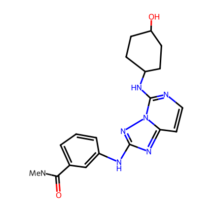 CNC(=O)c1cccc(Nc2nc3ccnc(NC4CCC(O)CC4)n3n2)c1